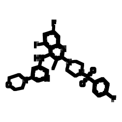 Cc1c(N2CCN(S(=O)(=O)c3ccc(F)cc3)CC2)nc2cc(F)cc(F)c2c1Nc1cncc(N2CCOCC2)c1